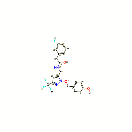 COc1ccc(COn2nc(C(F)(F)F)cc2CNC(=O)Cc2cccc(F)c2)cc1